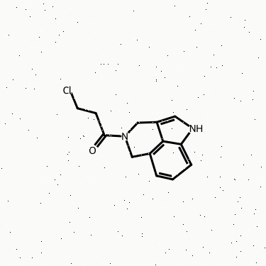 O=C(CCCl)N1Cc2cccc3[nH]cc(c23)C1